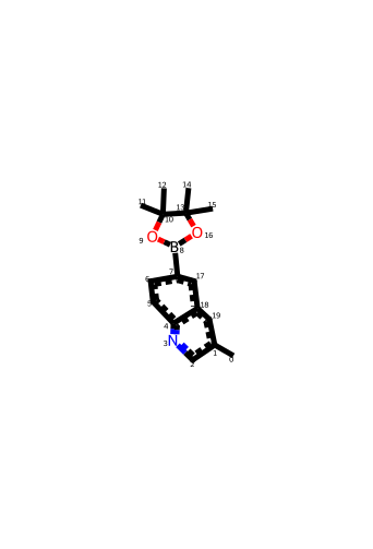 Cc1cnc2ccc(B3OC(C)(C)C(C)(C)O3)cc2c1